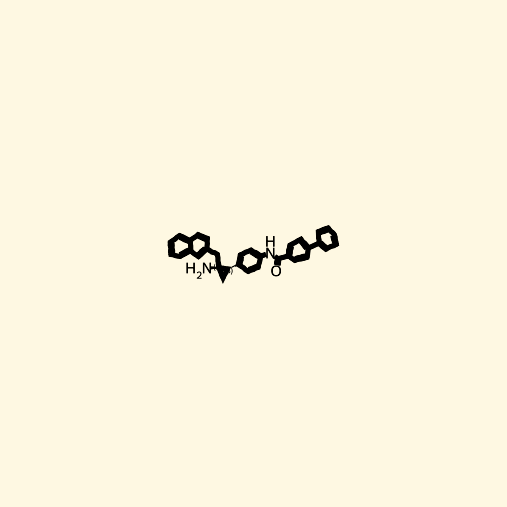 N[C@]1(Cc2ccc3ccccc3c2)C[C@H]1c1ccc(NC(=O)c2ccc(-c3ccccc3)cc2)cc1